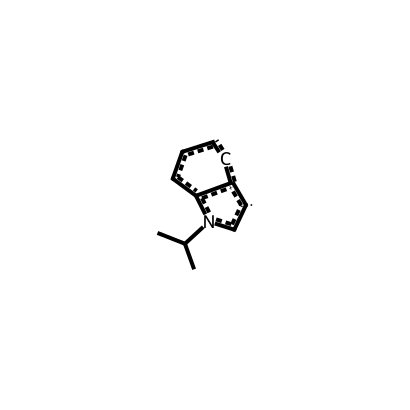 CC(C)n1c[c]c2ccccc21